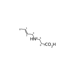 C/C=C/CNCCC(=O)O